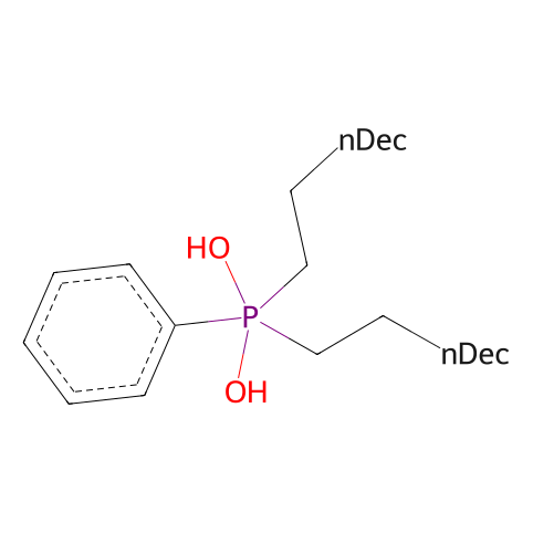 CCCCCCCCCCCCP(O)(O)(CCCCCCCCCCCC)c1ccccc1